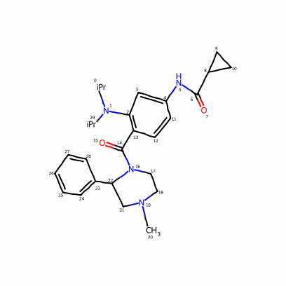 CC(C)N(c1cc(NC(=O)C2CC2)ccc1C(=O)N1CCN(C)CC1c1ccccc1)C(C)C